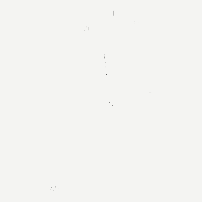 COc1ccc2c(c1)CCN(c1ccc(OC(C)C)cc1F)C2(C)c1ccc(Br)cc1